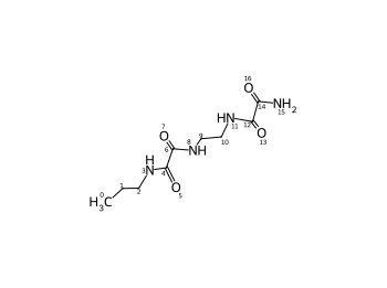 CCCNC(=O)C(=O)NCCNC(=O)C(N)=O